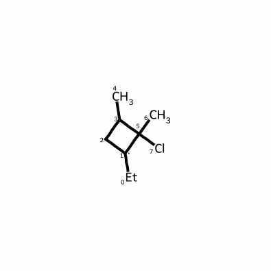 CC[C]1CC(C)C1(C)Cl